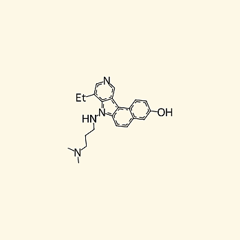 CCc1cncc2c3c4ccc(O)cc4ccc3n(NCCCN(C)C)c12